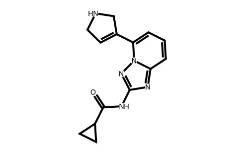 O=C(Nc1nc2cccc(C3=CCNC3)n2n1)C1CC1